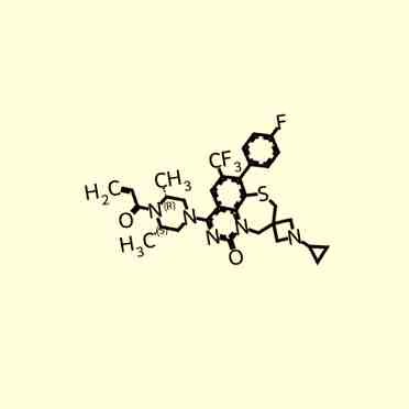 C=CC(=O)N1[C@H](C)CN(c2nc(=O)n3c4c(c(-c5ccc(F)cc5)c(C(F)(F)F)cc24)SCC2(CN(C4CC4)C2)C3)C[C@@H]1C